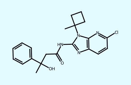 CC(O)(CC(=O)Nc1nc2ccc(Cl)nc2n1C1(C)CCC1)c1ccccc1